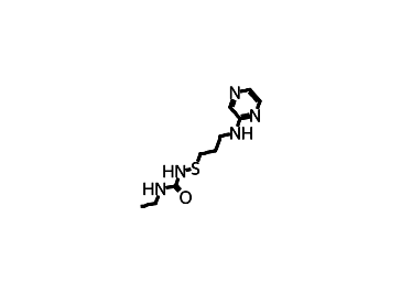 CCNC(=O)NSCCCNc1cnccn1